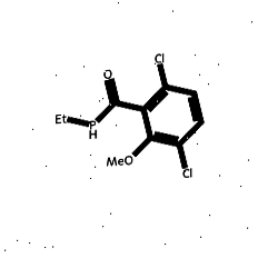 CCPC(=O)c1c(Cl)ccc(Cl)c1OC